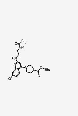 CC(C)(C)OC(=O)N1CCN(c2cc(NCCNC(=O)C(F)(F)F)nc3cc(Cl)ccc23)CC1